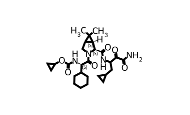 CC1(C)C2CN(C(=O)[C@@H](NC(=O)OC3CC3)C3CCCCC3)[C@H](C(=O)NC(CC3CC3)C(=O)C(N)=O)[C@@H]21